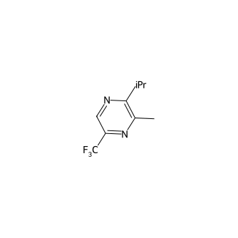 Cc1nc(C(F)(F)F)cnc1C(C)C